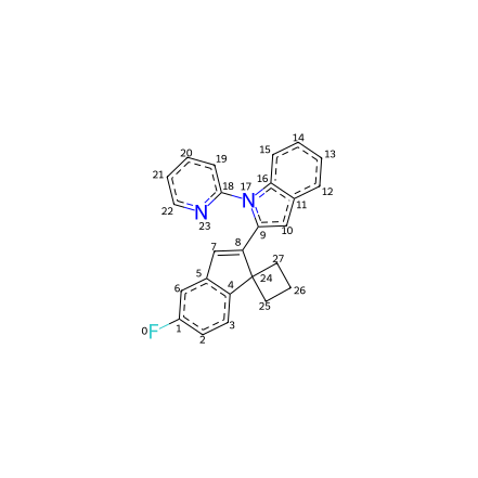 Fc1ccc2c(c1)C=C(c1cc3ccccc3n1-c1ccccn1)C21CCC1